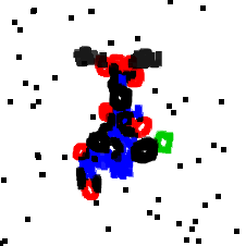 CC(C)(C)OC(=O)c1cc2cc(NC(=O)C(Cc3ccc(NC(=O)N4CCOCC4)cc3)N3CCN(c4cc(Cl)ccc4-n4cnnn4)C(=O)C3=O)ccc2n1C(=O)OC(C)(C)C